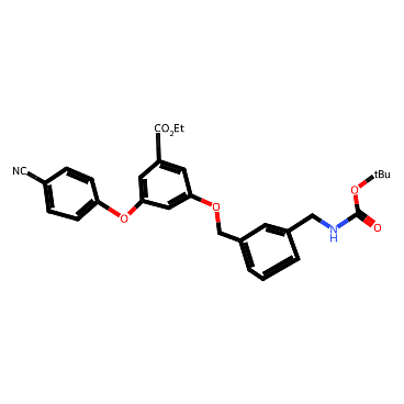 CCOC(=O)c1cc(OCc2cccc(CNC(=O)OC(C)(C)C)c2)cc(Oc2ccc(C#N)cc2)c1